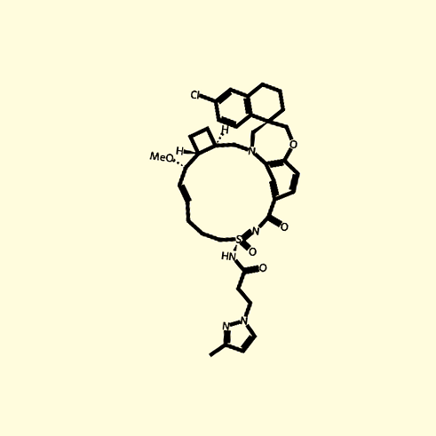 CO[C@H]1/C=C/CCC[S@@](=O)(NC(=O)CCn2ccc(C)n2)=NC(=O)c2ccc3c(c2)N(C[C@@H]2CC[C@H]21)C[C@@]1(CCCc2cc(Cl)ccc21)CO3